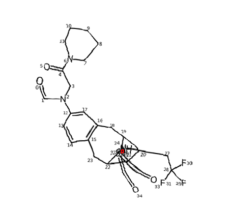 O=CN(CC(=O)N1CCCCC1)c1ccc2c(c1)CC1CCC(C2)C12CN(CC(F)(F)F)S(=O)(=O)N2